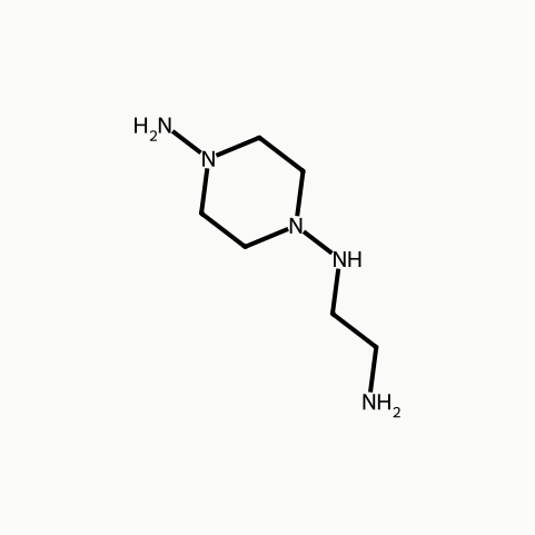 NCCNN1CCN(N)CC1